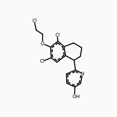 Oc1ccc(C2CCCc3c2cc(Cl)c(OCCCl)c3Cl)nc1